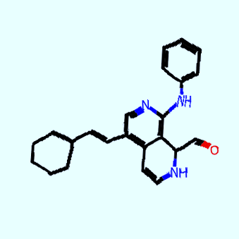 O=CC1NC=Cc2c(/C=C/C3CCCCC3)cnc(Nc3ccccc3)c21